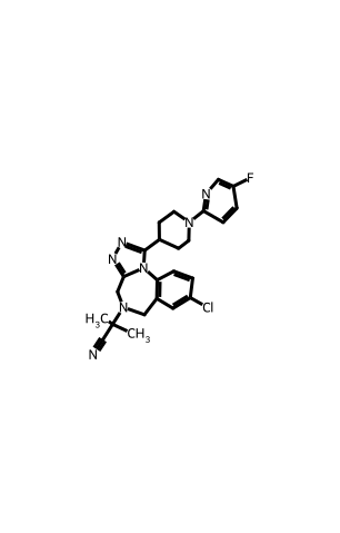 CC(C)(C#N)N1Cc2cc(Cl)ccc2-n2c(nnc2C2CCN(c3ccc(F)cn3)CC2)C1